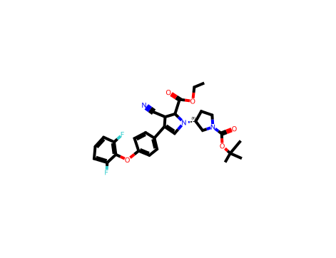 CCOC(=O)C1C(C#N)C(c2ccc(Oc3c(F)cccc3F)cc2)=CN1[C@@H]1CCN(C(=O)OC(C)(C)C)C1